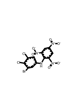 O=[N+]([O-])c1cc([N+](=O)[O-])c(Nc2cc(Cl)c(Cl)c(Br)c2)c([N+](=O)[O-])c1